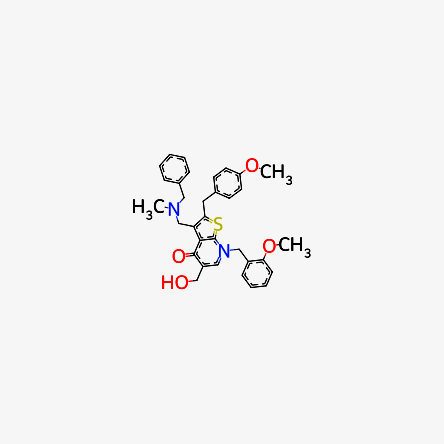 COc1ccc(Cc2sc3c(c2CN(C)Cc2ccccc2)c(=O)c(CO)cn3Cc2ccccc2OC)cc1